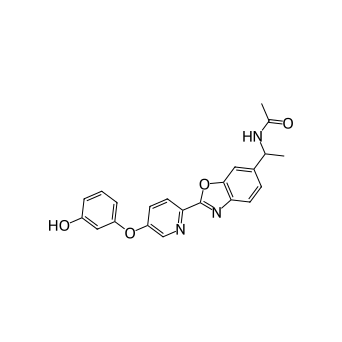 CC(=O)NC(C)c1ccc2nc(-c3ccc(Oc4cccc(O)c4)cn3)oc2c1